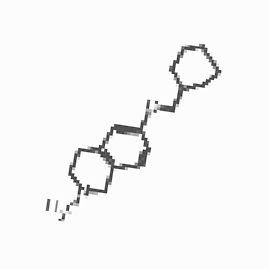 CN1CCc2cc(OCC3CCCCC3)ccc2C1